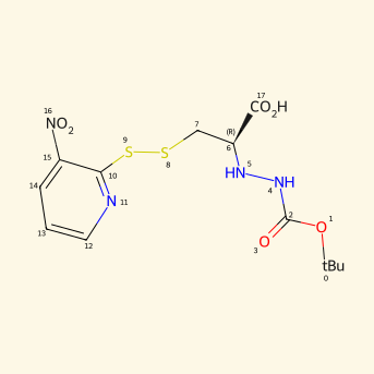 CC(C)(C)OC(=O)NN[C@@H](CSSc1ncccc1[N+](=O)[O-])C(=O)O